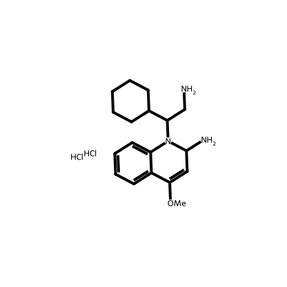 COC1=CC(N)N(C(CN)C2CCCCC2)c2ccccc21.Cl.Cl